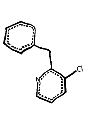 Clc1cccnc1Cc1ccccc1